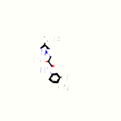 CC(=O)Nc1cnn(CC(O)C(=O)Nc2ccc(C#N)c(C(F)(F)F)c2)c1